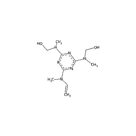 C=CN(C)c1nc(N(C)CO)nc(N(C)CO)n1